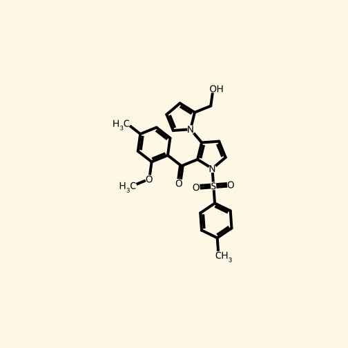 COc1cc(C)ccc1C(=O)c1c(-n2cccc2CO)ccn1S(=O)(=O)c1ccc(C)cc1